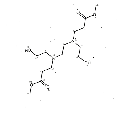 COC(=O)CCN(CCO)CCN(CCO)CCC(=O)OC